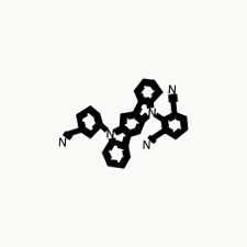 N#Cc1cccc(-n2c3ccccc3c3cc4c(cc32)c2ccccc2n4-c2c(C#N)cccc2C#N)c1